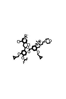 CS(=O)(=O)N(CCN1CCOCC1)Cc1ccc(C(=O)OC(Cc2c(Cl)c[n+]([O-])cc2Cl)c2ccc(OC(F)F)c(OCC3CC3)c2)cc1OCC1CC1